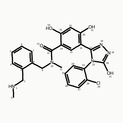 CNCc1ccccc1CN(C)C(=O)c1cc(-c2nnc(O)n2-c2ccccc2Cl)c(O)cc1O